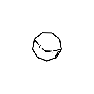 C1=C2CCCC(CCC1)CCC2